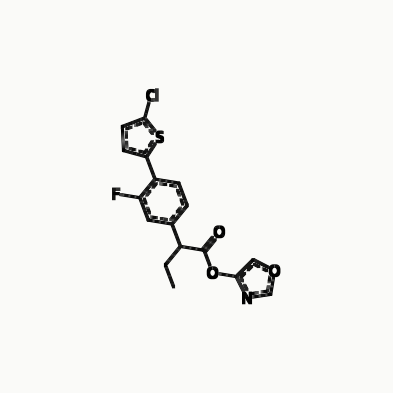 CCC(C(=O)Oc1cocn1)c1ccc(-c2ccc(Cl)s2)c(F)c1